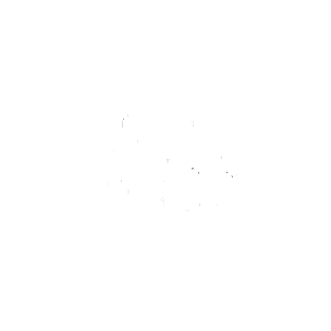 CCOC(=O)c1cnc2cccc(C(O)P(=O)(OCC)OCC)n12